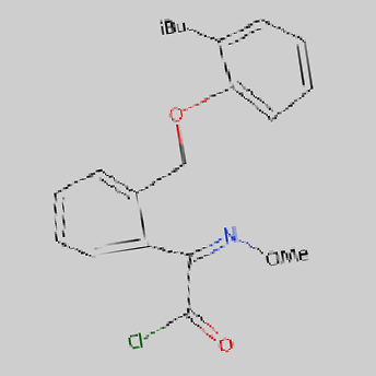 CCC(C)c1ccccc1OCc1ccccc1C(=NOC)C(=O)Cl